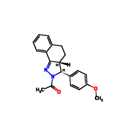 COc1ccc([C@H]2[C@H]3CCc4ccccc4C3=NN2C(C)=O)cc1